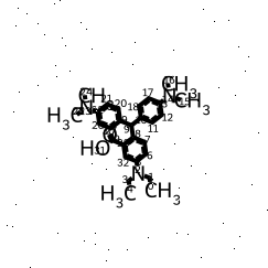 CCN(CC)c1ccc(C(c2ccc(N(C)C)cc2)c2ccc(N(C)C)cc2)c(C(=O)O)c1